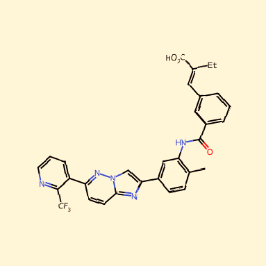 CC/C(=C\c1cccc(C(=O)Nc2cc(-c3cn4nc(-c5cccnc5C(F)(F)F)ccc4n3)ccc2C)c1)C(=O)O